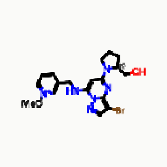 CO[n+]1cccc(CNc2cc(N3CCC[C@H]3CO)nc3c(Br)cnn23)c1